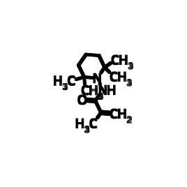 C=C(C)C(=O)NN1C(C)(C)CCCC1(C)C